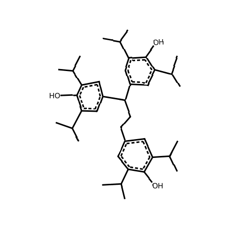 CC(C)c1cc(CCC(c2cc(C(C)C)c(O)c(C(C)C)c2)c2cc(C(C)C)c(O)c(C(C)C)c2)cc(C(C)C)c1O